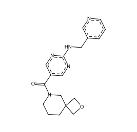 O=C(c1cnc(NCc2cccnc2)nc1)N1CCCC2(COC2)C1